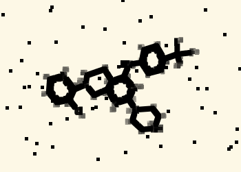 FC(F)(F)c1ccc(Nc2nc(N3CCNCC3)nc3c2CCN(c2ncccc2Cl)C3)cc1